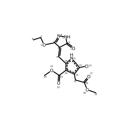 CCOC1=NNC(=O)C1=Cc1[nH]c(Cl)c(CC(=O)OC)c1C(=O)OC